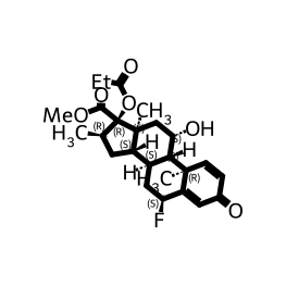 CCC(=O)O[C@]1(C(=O)OC)[C@H](C)C[C@H]2[C@@H]3C[C@H](F)C4=CC(=O)C=C[C@]4(C)[C@H]3[C@@H](O)C[C@@]21C